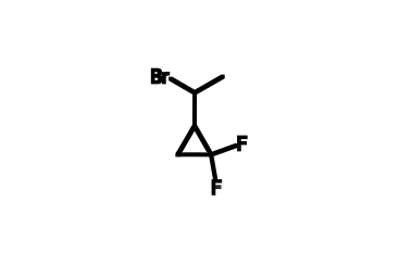 CC(Br)C1CC1(F)F